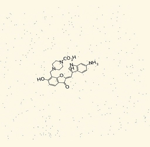 Nc1ccc2c(/C=C3\Oc4c(ccc(O)c4CN4CCN(C(=O)O)CC4)C3=O)c[nH]c2c1